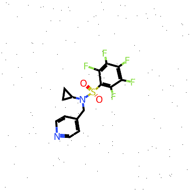 O=S(=O)(c1c(F)c(F)c(F)c(F)c1F)N(Cc1ccncc1)C1CC1